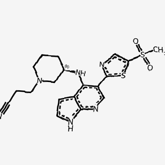 CS(=O)(=O)c1cnc(-c2cnc3[nH]ccc3c2N[C@@H]2CCCN(CCC#N)C2)s1